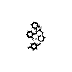 COc1ccccc1Cn1c(CN2CCN(Cc3ccc(C)cc3)CC2)nc2ccccc21